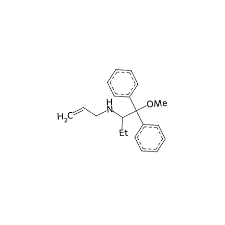 C=CCNC(CC)C(OC)(c1ccccc1)c1ccccc1